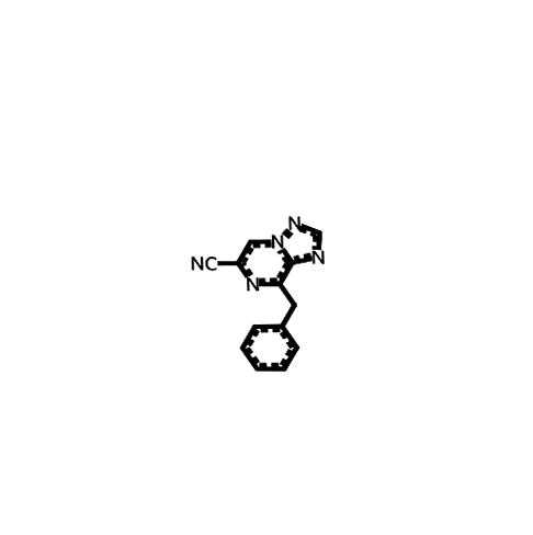 N#Cc1cn2ncnc2c(Cc2ccccc2)n1